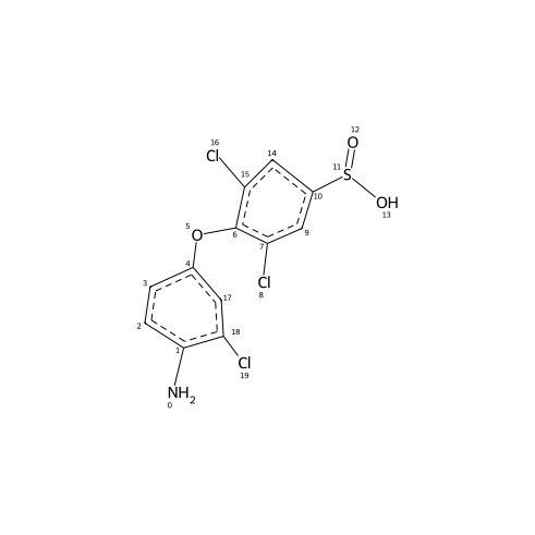 Nc1ccc(Oc2c(Cl)cc(S(=O)O)cc2Cl)cc1Cl